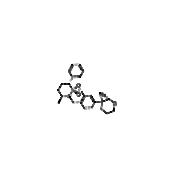 C[C@H]1CC[C@H](c2ccccc2)S(=O)(=O)N1Cc1ccc(C2(N)CCCOC2)cc1F